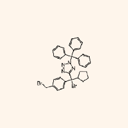 BrCc1ccc(C(Br)(c2nnn(C(c3ccccc3)(c3ccccc3)c3ccccc3)n2)C2CCCC2)cc1